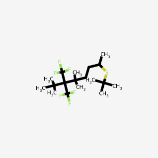 CC(CCC(C)(C)C(C(C)(C)C)(C(F)(F)F)C(F)(F)F)SC(C)(C)C